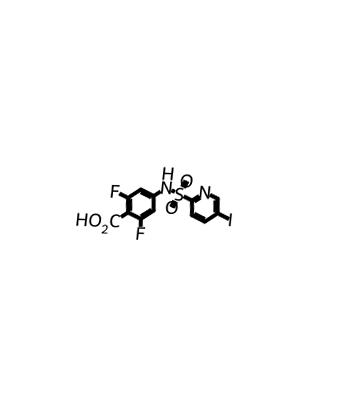 O=C(O)c1c(F)cc(NS(=O)(=O)c2ccc(I)cn2)cc1F